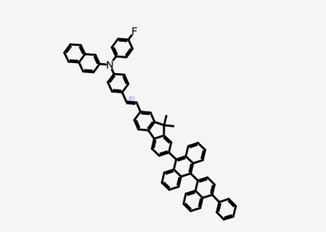 CC1(C)c2cc(/C=C/c3ccc(N(c4ccc(F)cc4)c4ccc5ccccc5c4)cc3)ccc2-c2ccc(-c3c4ccccc4c(-c4ccc(-c5ccccc5)c5ccccc45)c4ccccc34)cc21